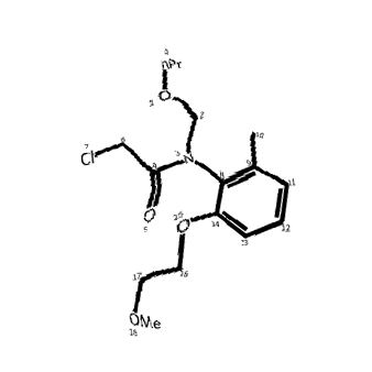 CCCOCN(C(=O)CCl)c1c(C)cccc1OCCOC